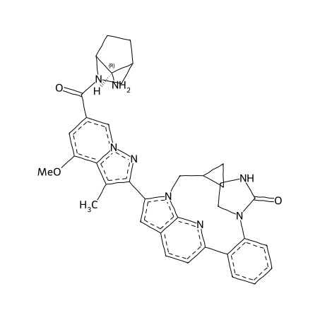 COc1cc(C(=O)N2CC3CCC2[C@@H]3N)cn2nc(-c3cc4ccc(-c5ccccc5N5CCNC5=O)nc4n3CC3CC3)c(C)c12